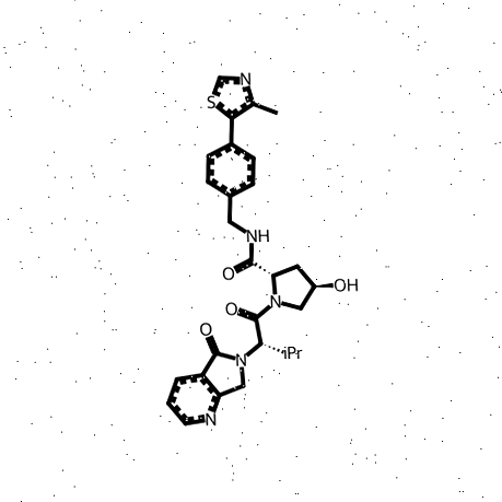 Cc1ncsc1-c1ccc(CNC(=O)[C@@H]2C[C@@H](O)CN2C(=O)[C@H](C(C)C)N2Cc3ncccc3C2=O)cc1